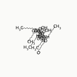 CCCCCCCCCCCCC(OC(=O)CCCCCCCCc1ccccc1)C(=O)N[C@H](COC1OC(CO)C(O)C(OC(=O)C[C@@H](CCCCCCCCCCC)OC(=O)CCCCCCCCC)C1NC(=O)C[C@@H](CCCCCCCCCCC)OC(=O)CCCCCCCCC)C(=O)O